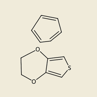 c1ccccc1.c1scc2c1OCCO2